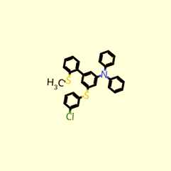 CSc1ccccc1-c1cc(Sc2cccc(Cl)c2)cc(N(c2ccccc2)c2ccccc2)c1